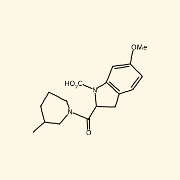 COc1ccc2c(c1)N(C(=O)O)C(C(=O)N1CCCC(C)C1)C2